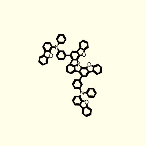 c1ccc(N(c2cccc(-c3cc4c5ccccc5oc4c4c3c3cccc5c6c(-c7cccc(N(c8ccccc8)c8cccc9c8oc8ccccc89)c7)cc7c8ccccc8oc7c6n4c35)c2)c2cccc3c2oc2ccccc23)cc1